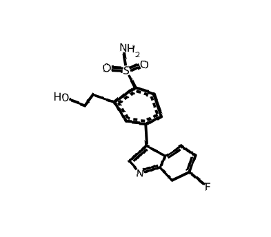 NS(=O)(=O)c1ccc(C2=CN=C3CC(F)=CC=C23)cc1CCO